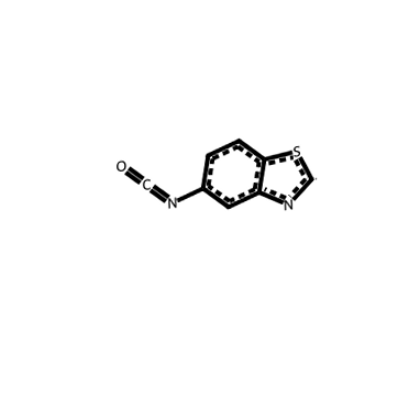 O=C=Nc1ccc2s[c]nc2c1